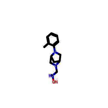 Cc1ccccc1N1CC2CC1CN2CNO